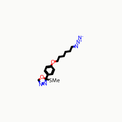 CSC1(c2ccc(OCCCCCCN=[N+]=[N-])cc2)N=NCO1